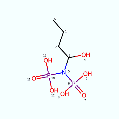 CCCC(O)N(P(=O)(O)O)P(=O)(O)O